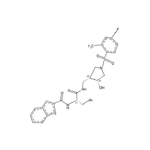 CC(C)C[C@H](NC(=O)c1cc2ccccc2s1)C(=O)NC[C@@H]1CN(S(=O)(=O)c2ccc(F)cc2C(F)(F)F)C[C@@H]1O